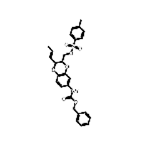 CC=CC1Oc2ccc(NC(=O)OCc3ccccc3)cc2OC1COS(=O)(=O)c1ccc(C)cc1